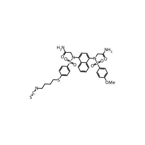 COc1ccc(S(=O)(=O)N(CC(N)=O)c2ccc(N(CC(N)=O)S(=O)(=O)c3ccc(SCCCCN=C=S)cc3)c3ccccc23)cc1